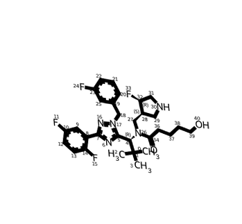 CC(C)(C)[C@H](c1nc(-c2cc(F)ccc2F)nn1Cc1cccc(F)c1)N(C[C@@H]1CNC[C@@H]1F)C(=O)CCCCO